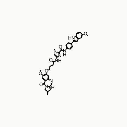 C=C1C[C@H]2C=Nc3cc(OCCCC(=O)Nc4cn(C)c(C(=O)Nc5ccc(-c6cc7cc(OC)ccc7[nH]6)cc5)n4)c(OC)cc3C(=O)N2C1